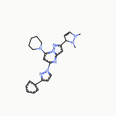 CN1C=CC(c2cc3nc(-n4ccc(-c5ccccc5)n4)cc(N4CCCCC4)n3n2)N1C